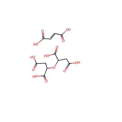 O=C(O)C=CC(=O)O.O=C(O)CC(OC(CC(=O)O)C(=O)O)C(=O)O